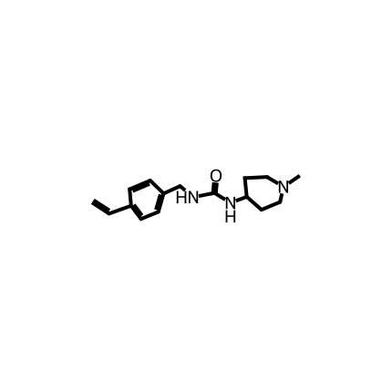 C=Cc1ccc(CNC(=O)NC2CCN(C)CC2)cc1